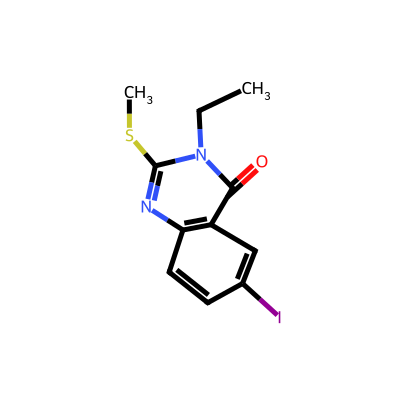 CCn1c(SC)nc2ccc(I)cc2c1=O